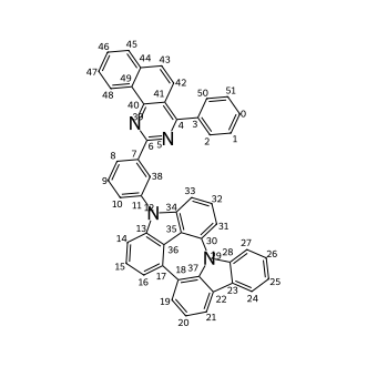 c1ccc(-c2nc(-c3cccc(-n4c5cccc6c7cccc8c9ccccc9n(c9cccc4c9c65)c78)c3)nc3c2ccc2ccccc23)cc1